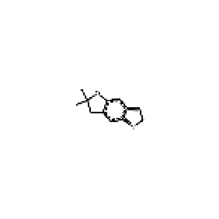 CC1(C)Cc2cc3c(cc2O1)=CCN=3